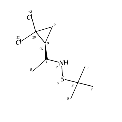 CC(NSC(C)(C)C)[C@@H]1CC1(Cl)Cl